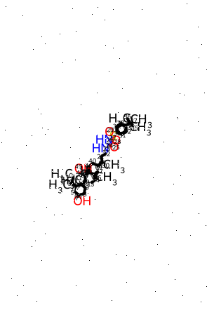 CC[C@@H](C)[C@@H]1C[C@H](O)CC[C@]1(C)[C@H]1CC[C@]2(C)C[C@@H]([C@H](C)CCNC(=O)NS(=O)(=O)c3ccc(C(C)(C)C)cc3)CC[C@H]2[C@@H]1CO